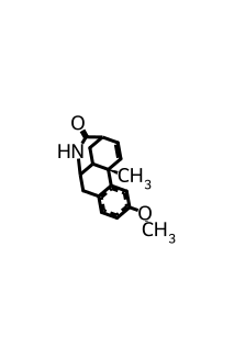 COc1ccc2c(c1)[C@@]1(C)C=CC3CC1C(C2)NC3=O